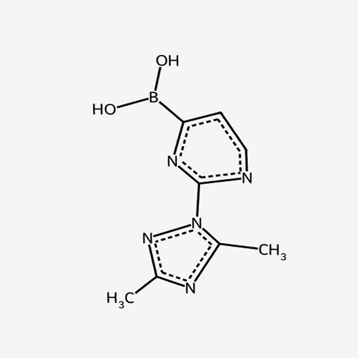 Cc1nc(C)n(-c2nccc(B(O)O)n2)n1